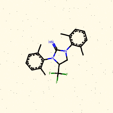 Cc1cccc(C)c1N1CC(C(F)(F)F)N(c2c(C)cccc2C)C1=N